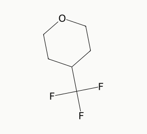 FC(F)(F)C1CCOCC1